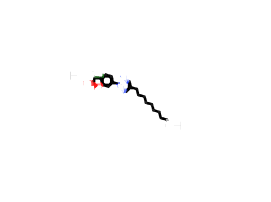 CCCCCCCCCCc1cnc(-c2ccc([C@@](C)(Cl)C(=O)O)cc2)nc1